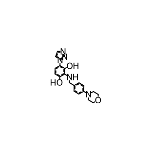 Oc1ccc(-n2ccnn2)c(O)c1NCc1ccc(N2CCOCC2)cc1